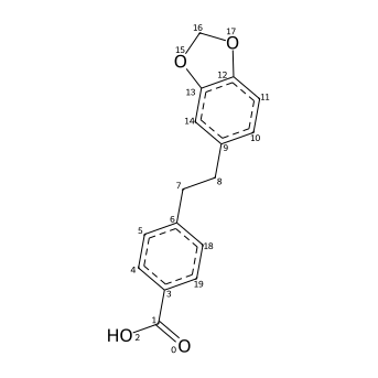 O=C(O)c1ccc(CCc2ccc3c(c2)OCO3)cc1